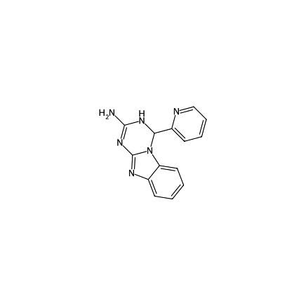 NC1=Nc2nc3ccccc3n2C(c2ccccn2)N1